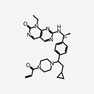 C=CC(=O)N1CCN(C(CC2CC2)c2ccc([C@H](C)Nc3ncc4cnc(=O)n(CC)c4n3)cc2)CC1